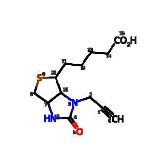 C#CCN1C(=O)NC2CSC(CCCCC(=O)O)C21